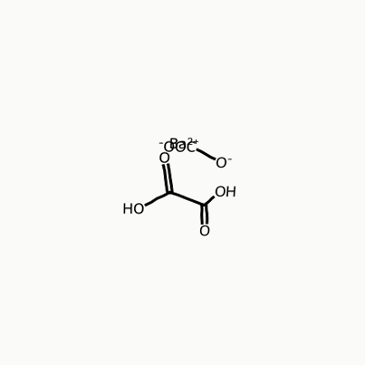 O=C(O)C(=O)O.O=C([O-])[O-].[Ba+2]